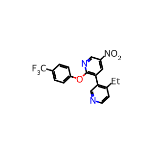 CCc1ccncc1-c1cc([N+](=O)[O-])cnc1Oc1ccc(C(F)(F)F)cc1